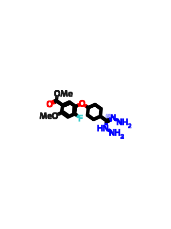 COC(=O)c1cc(OC2CCC(/C(=N/N)NN)CC2)c(F)cc1OC